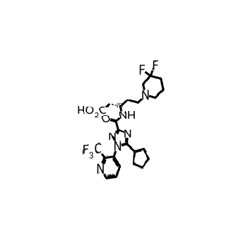 O=C(O)C[C@H](CCN1CCCC(F)(F)C1)NC(=O)c1nc(C2CCCC2)n(-c2cccnc2C(F)(F)F)n1